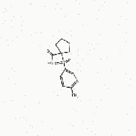 Cc1ccc(S(=O)(=O)C2(C(=O)O)CCCC2)cn1